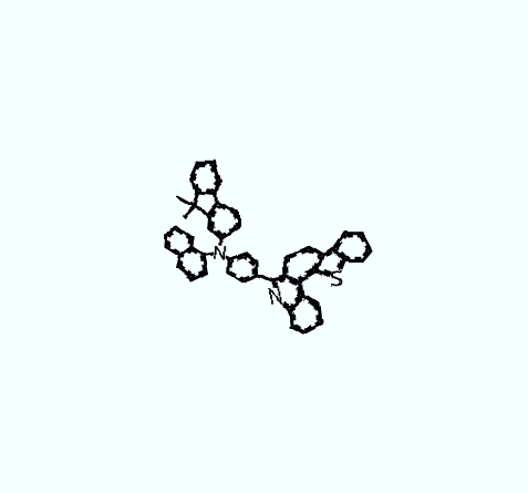 CC1(C)c2ccccc2-c2ccc(N(c3ccc(-c4nc5ccccc5c5c4ccc4c6ccccc6sc45)cc3)c3cccc4ccccc34)cc21